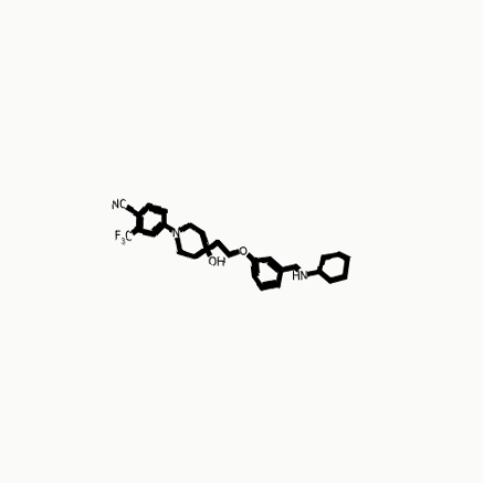 N#Cc1ccc(N2CCC(O)(CCOc3cccc(CNC4CCCCC4)c3)CC2)cc1C(F)(F)F